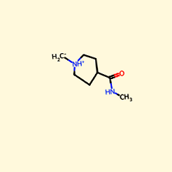 [CH2-][NH+]1CCC(C(=O)NC)CC1